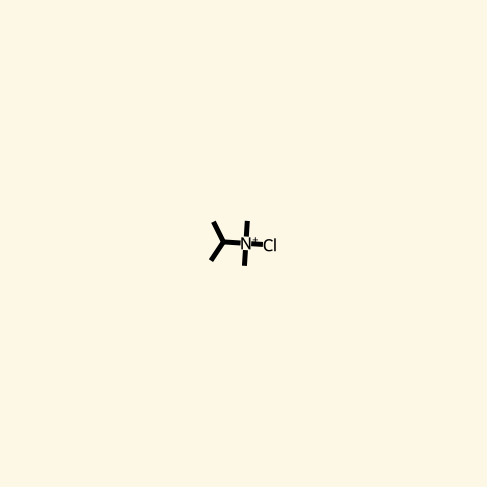 CC(C)[N+](C)(C)Cl